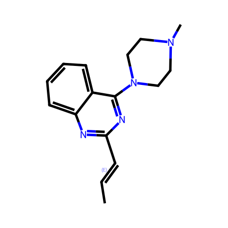 C/C=C/c1nc(N2CCN(C)CC2)c2ccccc2n1